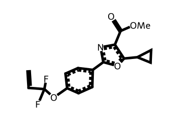 C=CC(F)(F)Oc1ccc(-c2nc(C(=O)OC)c(C3CC3)o2)cc1